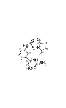 BC(=O)N[C@@H](CO)c1cccc(BC(=O)ON2C(=O)CCC2=O)c1